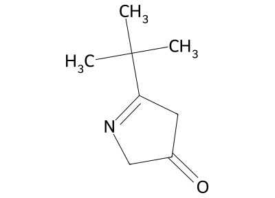 CC(C)(C)C1=NCC(=O)C1